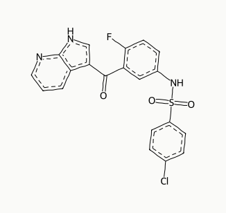 O=C(c1cc(NS(=O)(=O)c2ccc(Cl)cc2)ccc1F)c1c[nH]c2ncccc12